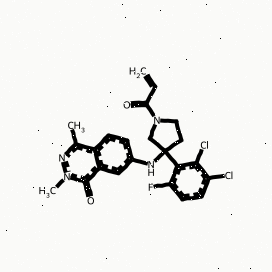 C=CC(=O)N1CCC(Nc2ccc3c(C)nn(C)c(=O)c3c2)(c2c(F)ccc(Cl)c2Cl)C1